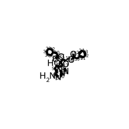 N#C[C@@]1(c2ccc3c(N)ncnn23)O[C@H](COC(=O)Cc2ccccc2)[C@@H](OC(=O)CC2CCCCC2)[C@H]1O